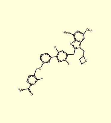 COc1cc(C(=O)O)cc2c1nc(Cc1cc(F)c(-c3cccc(OCc4ccc(C(N)=O)nc4C)n3)cc1F)n2C[C@@H]1CCO1